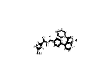 C[C@@H](NC(=O)c1nc(C(C)(C)C)no1)c1ccc(-c2ccnc3[nH]nc(N4CCNCC4)c23)cc1